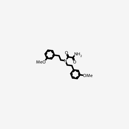 COc1cccc(CCN(CCc2cccc(OC)c2)C(=O)C(N)=O)c1